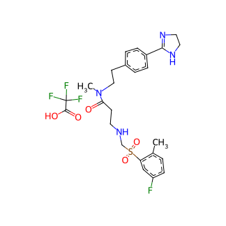 Cc1ccc(F)cc1S(=O)(=O)CNCCC(=O)N(C)CCc1ccc(C2=NCCN2)cc1.O=C(O)C(F)(F)F